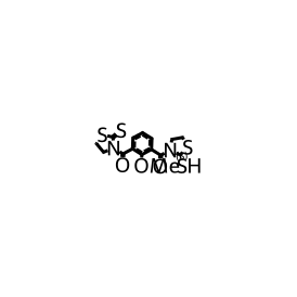 COc1c(C(=O)N2CCSC2=S)cccc1C(=O)N1CCS[C@@H]1S